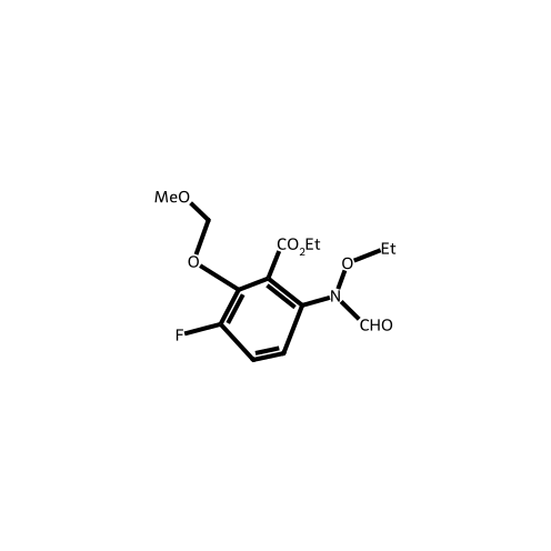 CCOC(=O)c1c(N(C=O)OCC)ccc(F)c1OCOC